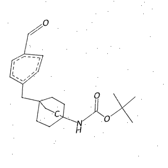 CC(C)(C)OC(=O)NC12CCC(Cc3ccc(C=O)cc3)(CC1)CC2